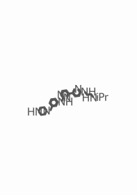 CC(C)NCCNc1ccc(-c2ccnc(Nc3cccc(CN4CCNCC4)c3)n2)cn1